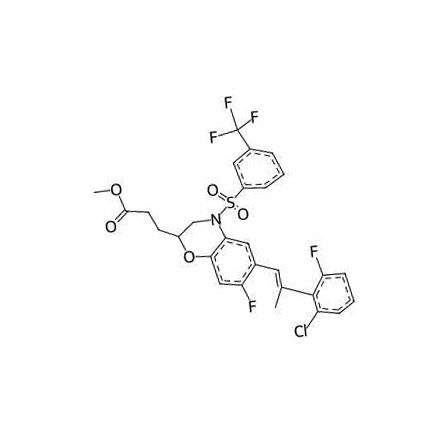 COC(=O)CCC1CN(S(=O)(=O)c2cccc(C(F)(F)F)c2)c2cc(C=C(C)c3c(F)cccc3Cl)c(F)cc2O1